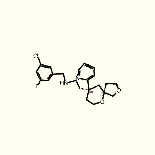 Fc1cc(Cl)cc(CNCC[C@@]2(c3ccccn3)CCO[C@]3(CCOC3)C2)c1